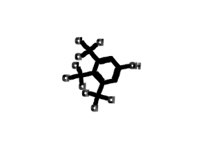 Oc1cc(C(Cl)(Cl)Cl)c(C(Cl)(Cl)Cl)c(C(Cl)(Cl)Cl)c1